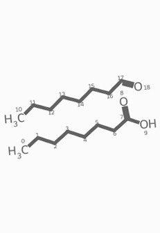 CCCCCCCC(=O)O.CCCCCCCC=O